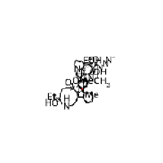 CC[C@]1(O)CCC[C@](C(=O)OC)(c2cc3c(cc2OC)N(C)[C@H]2[C@@](O)(C(=O)N=[N+]=[N-])[C@H](O)[C@]4(CC)C=CCN5CC[C@]32[C@@H]54)c2[nH]c3ccccc3c2CCNC1